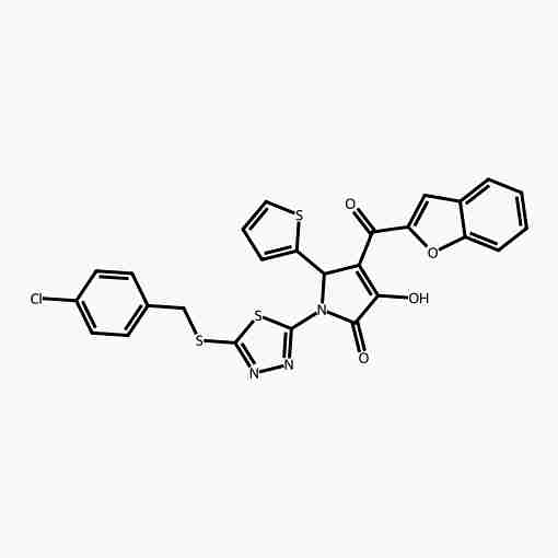 O=C(C1=C(O)C(=O)N(c2nnc(SCc3ccc(Cl)cc3)s2)C1c1cccs1)c1cc2ccccc2o1